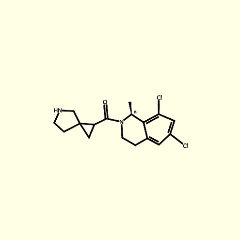 C[C@H]1c2c(Cl)cc(Cl)cc2CCN1C(=O)C1CC12CCNC2